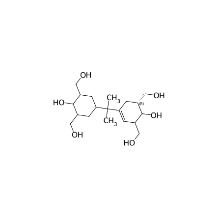 CC(C)(C1=CC(CO)C(O)[C@@H](CO)C1)C1CC(CO)C(O)C(CO)C1